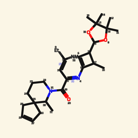 CC/C(=C/C(=N\C1=CC(C2OC(C)(C)C(C)(C)O2)C1C)C(=O)N1CCCC2(CC=CC2)C1C)NC